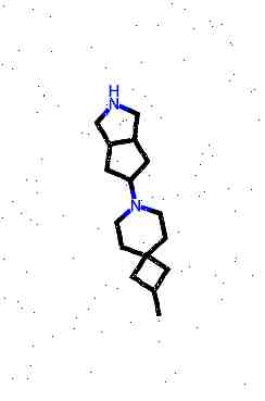 CC1CC2(CCN(C3CC4CNCC4C3)CC2)C1